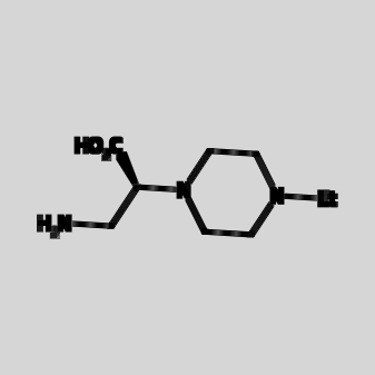 CCN1CCN([C@@H](CN)C(=O)O)CC1